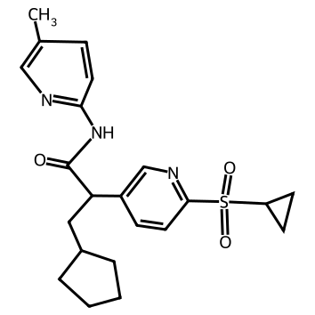 Cc1ccc(NC(=O)C(CC2CCCC2)c2ccc(S(=O)(=O)C3CC3)nc2)nc1